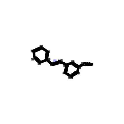 COc1cncc(/N=C/c2ccccc2)c1